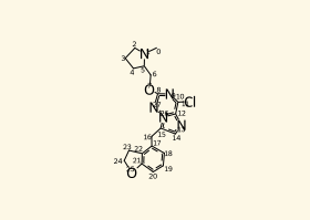 CN1CCCC1COc1nc(Cl)c2ncc(Cc3cccc4c3CCO4)n2n1